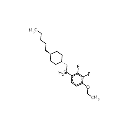 CCCCC[C@H]1CC[C@H](C[SiH2]c2ccc(OCC)c(F)c2F)CC1